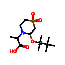 CC(C(=O)O)N1CCS(=O)(=O)C[C@@H]1O[Si](C)(C)C(C)(C)C